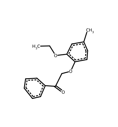 CCOc1cc(C)ccc1OCC(=O)c1ccccc1